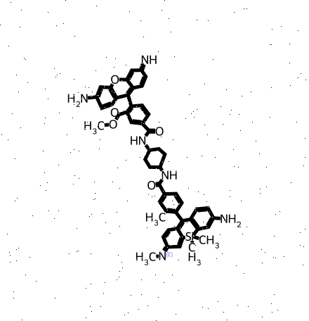 C/N=C1\C=CC2=C(c3ccc(C(=O)NC4CCC(NC(=O)c5ccc(-c6c7ccc(=N)cc-7oc7cc(N)ccc67)c(C(=O)OC)c5)CC4)cc3C)c3ccc(N)cc3[Si](C)(C)C2=C1